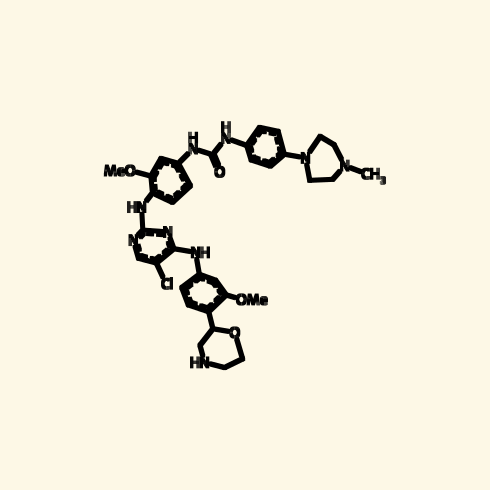 COc1cc(NC(=O)Nc2ccc(N3CCN(C)CC3)cc2)ccc1Nc1ncc(Cl)c(Nc2ccc(C3CNCCO3)c(OC)c2)n1